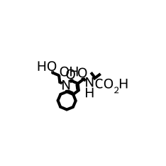 CC(C)(NC(=O)c1cc2c(n(CC(O)CO)c1=O)CCCCCC2)C(=O)O